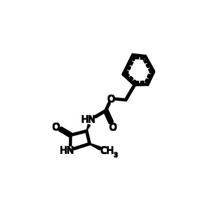 C[C@H]1NC(=O)[C@@H]1NC(=O)OCc1ccccc1